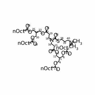 CCCCCCCCC(=O)OCC(COC(=O)CCCCCCCC)COC(=O)CCN(CCC(=O)OCC(COC(=O)CCCCCCCC)COC(=O)CCCCCCCC)C(=O)SCCCN(C)C